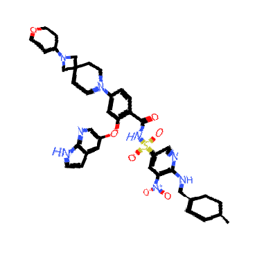 C[C@H]1CC[C@@H](CNc2ncc(S(=O)(=O)NC(=O)c3ccc(N4CCC5(CC4)CN(C4CCOCC4)C5)cc3Oc3cnc4[nH]ccc4c3)cc2[N+](=O)[O-])CC1